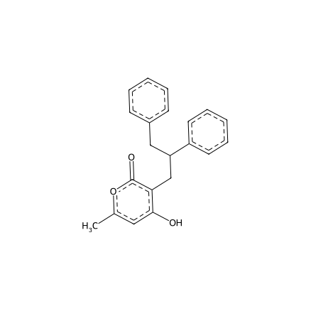 Cc1cc(O)c(CC(Cc2ccccc2)c2ccccc2)c(=O)o1